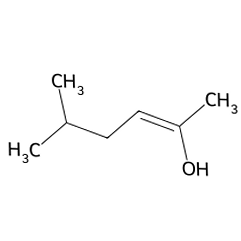 CC(O)=CCC(C)C